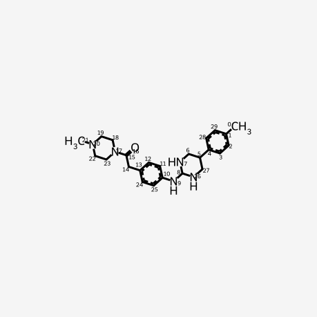 Cc1ccc(C2CNC(Nc3ccc(CC(=O)N4CCN(C)CC4)cc3)NC2)cc1